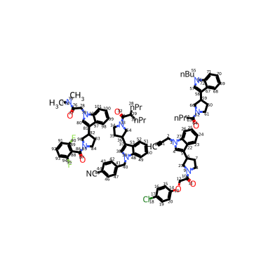 C#CCn1cc(C2CCN(C(=O)COc3ccc(Cl)cc3)C2)c2ccccc21.CCCC(CCC)C(=O)N1CCC(c2cn(Cc3ccc(C#N)cc3)c3ccccc23)C1.CCCCn1cc(C2CCN(C(=O)CCC)C2)c2ccccc21.CN(C)C(=O)Cn1cc(C2CCN(C(=O)c3c(F)cccc3F)C2)c2ccccc21